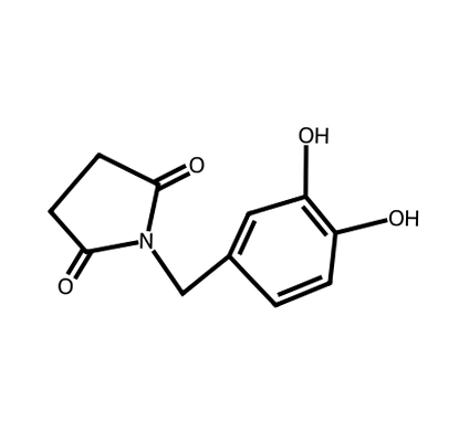 O=C1CCC(=O)N1Cc1ccc(O)c(O)c1